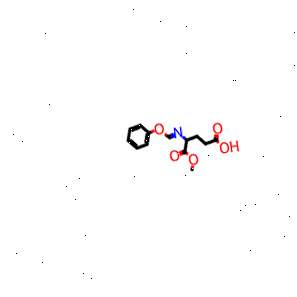 COC(=O)C(CCC(=O)O)N=COc1ccccc1